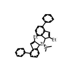 CCC1=Cc2c(-c3ccccc3)cccc2[CH]1[Zr]([CH]1C(CC)=Cc2c(-c3ccccc3)cccc21)=[Si](C)C